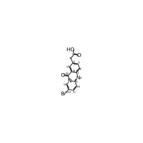 O=C(O)Cc1ccc2nc3ccc(Br)cn3c(=O)c2c1